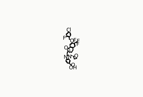 O=C(O)c1ccc2nc(CN3CCc4cc(C(F)(F)F)c(OCc5ccc(Cl)cc5F)cc4C3=O)n(C[C@@H]3CCO3)c2c1